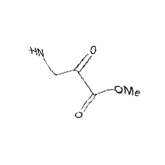 COC(=O)C(=O)C[NH]